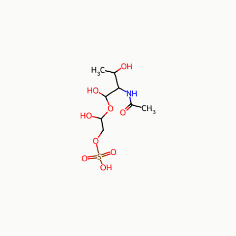 CC(=O)NC(C(C)O)C(O)OC(O)COS(=O)(=O)O